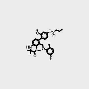 CCCS(=O)Oc1ccc(-c2ccc3c(c2COc2cc(F)ccc2C)N(C)C(=O)C(C)(C)N3)c(OC)c1